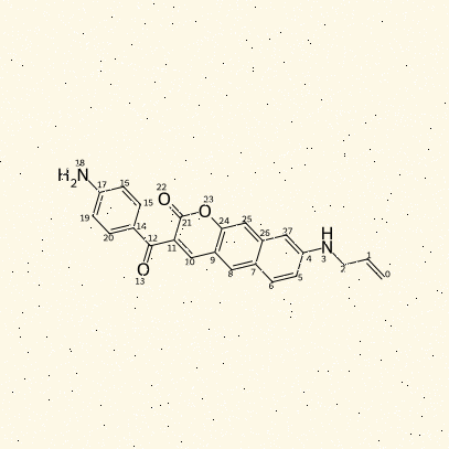 C=CCNc1ccc2cc3cc(C(=O)c4ccc(N)cc4)c(=O)oc3cc2c1